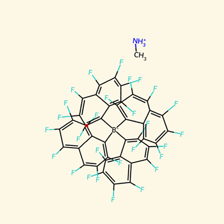 C[NH3+].Fc1c(F)c(F)c2c([B-](c3c(F)c(F)c(F)c4c(F)c(F)c(F)c(F)c34)(c3c(F)c(F)c(F)c4c(F)c(F)c(F)c(F)c34)c3c(F)c(F)c(F)c4c(F)c(F)c(F)c(F)c34)c(F)c(F)c(F)c2c1F